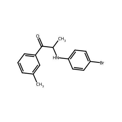 Cc1cccc(C(=O)C(C)Nc2ccc(Br)cc2)c1